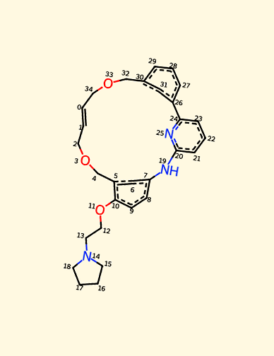 C1=C/COCc2cc(ccc2OCCN2CCCC2)Nc2cccc(n2)-c2cccc(c2)COC/1